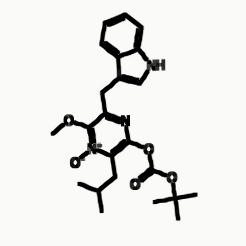 COc1c(Cc2c[nH]c3ccccc23)nc(OC(=O)OC(C)(C)C)c(CC(C)C)[n+]1[O-]